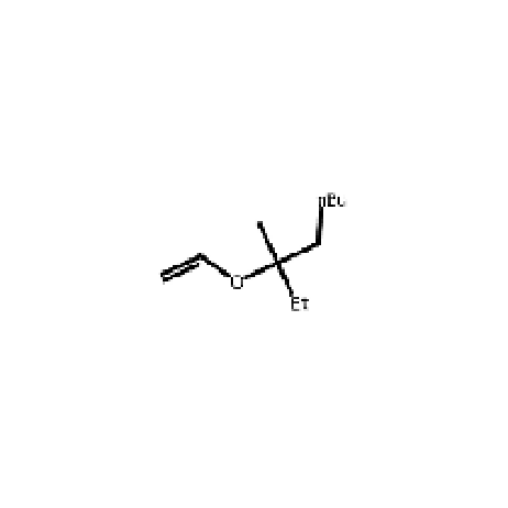 C=COC(C)(CC)CCCCC